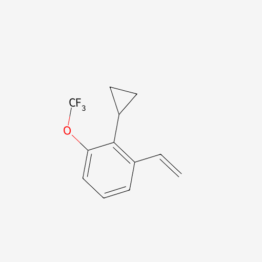 C=Cc1cccc(OC(F)(F)F)c1C1CC1